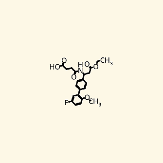 CCOC(=O)CC(NC(=O)CCC(=O)O)c1ccc(-c2cc(F)ccc2OC)cc1